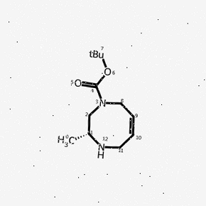 C[C@@H]1CN(C(=O)OC(C)(C)C)CC=CCN1